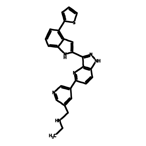 CCNCc1cncc(-c2ccc3[nH]nc(-c4cc5c(-c6cccs6)cccc5[nH]4)c3n2)c1